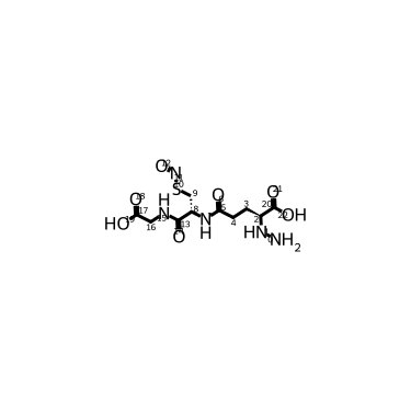 NN[C@@H](CCC(=O)N[C@@H](CSN=O)C(=O)NCC(=O)O)C(=O)O